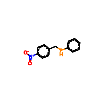 O=[N+]([O-])c1ccc(CPc2ccccc2)cc1